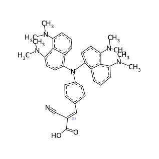 CN(C)c1cccc2c(N(c3ccc(/C=C(\C#N)C(=O)O)cc3)c3ccc(N(C)C)c4c(N(C)C)cccc34)ccc(N(C)C)c12